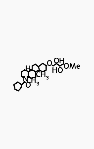 COC[C@H](O)[C@@H](O)CO[C@H]1CC[C@@]2(C)C(CC[C@@H]3C2CC[C@@]2(C)C3CCCN2C(=O)C2CCCCC2)C1